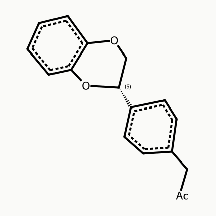 CC(=O)Cc1ccc([C@H]2COc3ccccc3O2)cc1